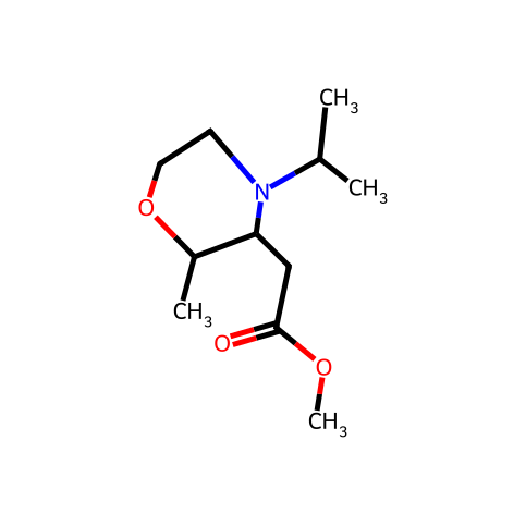 COC(=O)CC1C(C)OCCN1C(C)C